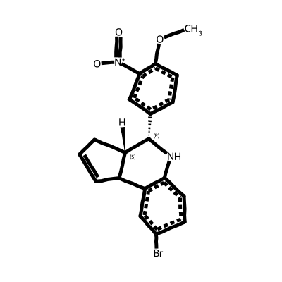 COc1ccc([C@@H]2Nc3ccc(Br)cc3C3C=CC[C@@H]32)cc1[N+](=O)[O-]